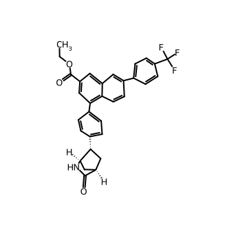 CCOC(=O)c1cc(-c2ccc([C@@H]3C[C@@H]4C[C@H]3NC4=O)cc2)c2ccc(-c3ccc(C(F)(F)F)cc3)cc2c1